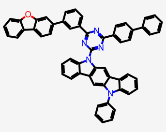 c1ccc(-c2ccc(-c3nc(-c4cccc(-c5ccc6c(c5)oc5ccccc56)c4)nc(-n4c5ccccc5c5cc6c(cc54)c4ccccc4n6-c4ccccc4)n3)cc2)cc1